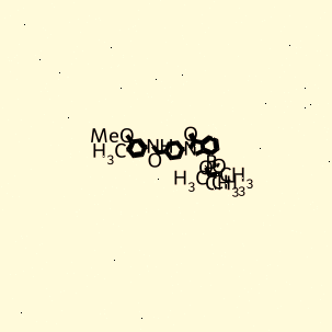 COc1cc(NC(=O)C2CCC(N3Cc4c(B5OC(C)(C)C(C)(C)O5)cccc4C3=O)CC2)ccc1C